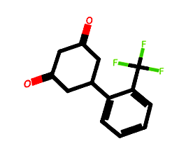 O=C1CC(=O)CC(c2ccccc2C(F)(F)F)C1